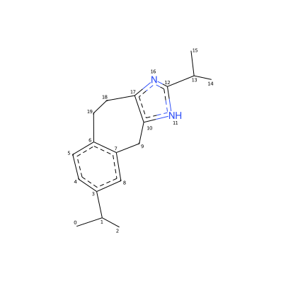 CC(C)c1ccc2c(c1)Cc1[nH]c(C(C)C)nc1CC2